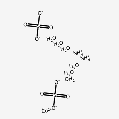 O.O.O.O.O.O.O=S(=O)([O-])[O-].O=S(=O)([O-])[O-].[Co+2].[NH4+].[NH4+]